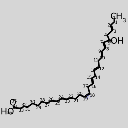 CCC=CCC(O)C=CC=CCC=CCC=CC/C=C\CCCCCCCCCCCCCCC(=O)O